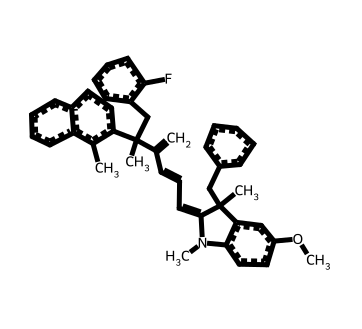 C=C(/C=C/C=C1/N(C)c2ccc(OC)cc2C1(C)Cc1ccccc1)C(C)(Cc1ccccc1F)c1ccc2ccccc2c1C